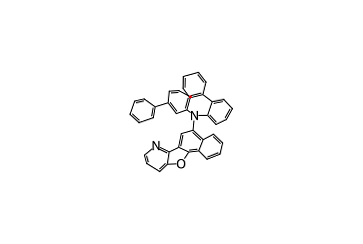 c1ccc(-c2cccc(N(c3ccccc3-c3ccccc3)c3cc4c5ncccc5oc4c4ccccc34)c2)cc1